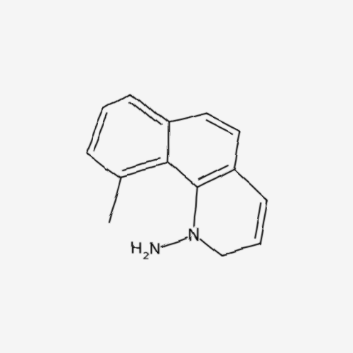 Cc1cccc2ccc3c(c12)N(N)CC=C3